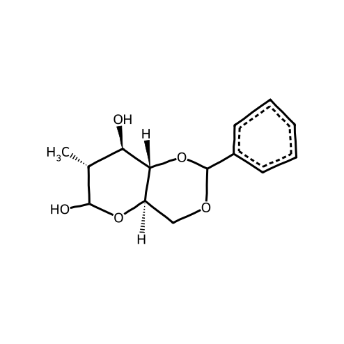 C[C@H]1C(O)O[C@@H]2COC(c3ccccc3)O[C@H]2[C@@H]1O